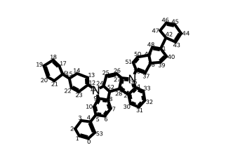 C1=CCCC(c2ccc3c(c2)N(C2=CCC(C4C=CC=CC4)C=C2)C2C=Cc4c(c5ccccc5n4C4=CC5C=CC(C6C=CC=CC6)=CC5C=C4)C32)=C1